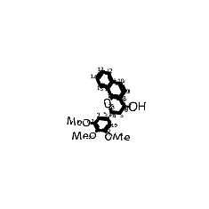 COc1cc([C@H]2C[C@H](O)c3ccc4ccccc4c3O2)cc(OC)c1OC